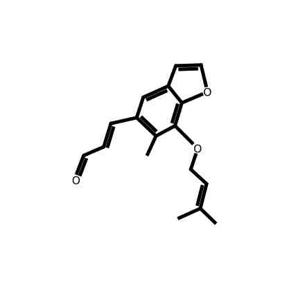 CC(C)=CCOc1c(C)c(/C=C/C=O)cc2ccoc12